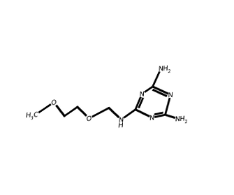 COCCOCNc1nc(N)nc(N)n1